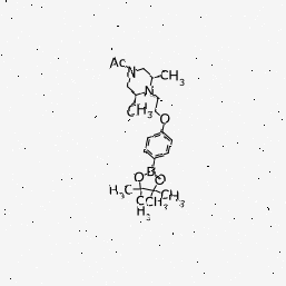 CC(=O)N1C[C@@H](C)N(CCOc2ccc(B3OC(C)(C)C(C)(C)O3)cc2)[C@@H](C)C1